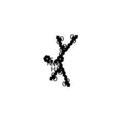 C=CC(=O)OCCCCOCC(COc1ccc(OCC(COCCCCOC(=O)C=C)OC(=O)CCOC(=O)C=C)c(/C=N/Nc2nc3ccccc3s2)c1)OC(=O)CCOC(=O)C=C